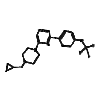 FC(F)(F)Oc1ccc(-c2c[c]cc(N3CCN(CC4CC4)CC3)n2)cc1